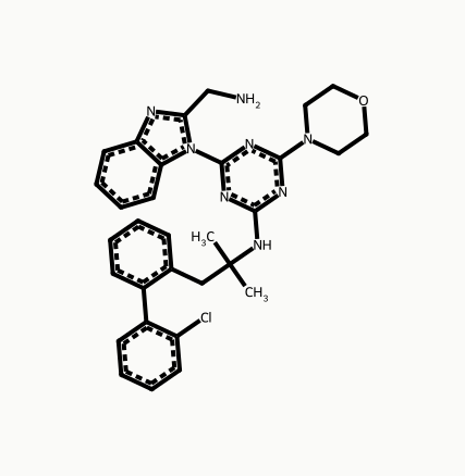 CC(C)(Cc1ccccc1-c1ccccc1Cl)Nc1nc(N2CCOCC2)nc(-n2c(CN)nc3ccccc32)n1